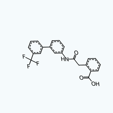 O=C(Cc1ccccc1C(=O)O)Nc1cccc(-c2cccc(C(F)(F)F)c2)c1